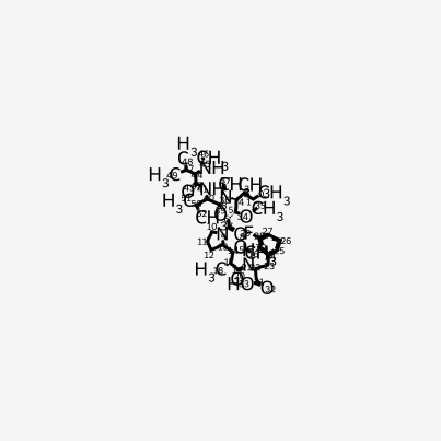 CC[C@H](C)[C@@H]([C@@H](CC(=O)N1CCCC1[C@H](OC)[C@@H](C)C(=O)NC(Cc1cccc(F)c1)C(=O)O)OC)N(C)C(=O)C(NC(=O)C(NC)C(C)C)C(C)C